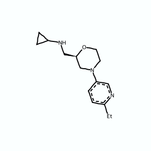 CCc1ccc(N2CCO[C@H](CNC3CC3)C2)cn1